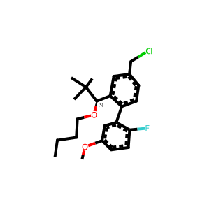 CCCCO[C@H](c1cc(CCl)ccc1-c1cc(OC)ccc1F)C(C)(C)C